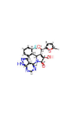 Cc1ccc(C(=O)C2=C(O)C(=O)N(c3ncnc4[nH]ncc34)C2c2ccccc2F)o1